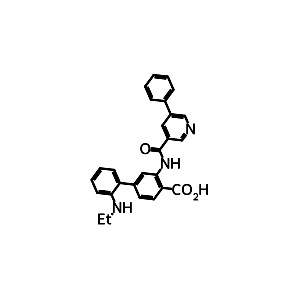 CCNc1ccccc1-c1ccc(C(=O)O)c(NC(=O)c2cncc(-c3ccccc3)c2)c1